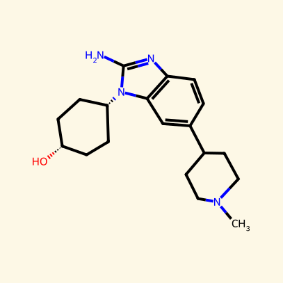 CN1CCC(c2ccc3nc(N)n([C@H]4CC[C@@H](O)CC4)c3c2)CC1